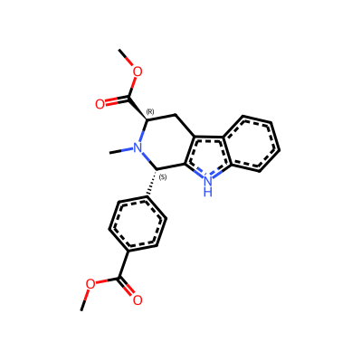 COC(=O)c1ccc([C@H]2c3[nH]c4ccccc4c3C[C@H](C(=O)OC)N2C)cc1